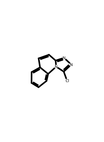 Clc1nnc2ccc3ccccc3n12